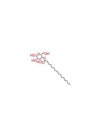 CCCCCCCCCCCCCCCC(=O)O[C@H]1[C@@H](O)[C@@H](O)C(O)O[C@H]1CO